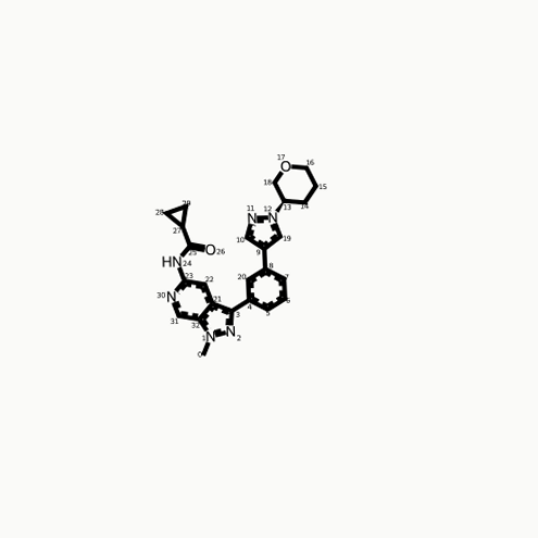 Cn1nc(-c2cccc(-c3cnn([C@@H]4CCCOC4)c3)c2)c2cc(NC(=O)C3CC3)ncc21